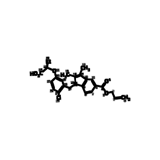 C=CCOC(=O)c1ccc2c(c1)c(C)c(C)n2Cc1cc(O[C@H](CC)C(=O)O)ccc1Cl